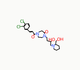 O=C(/C=C/c1ccc(Cl)c(Cl)c1)N1CCC(=O)N(CCC(O)CN2CCCCC2CO)CC1